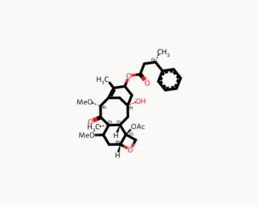 COC1C[C@H]2OC[C@@]2(OC(C)=O)[C@H]2C[C@@]3(O)CC(=C(C)C(OC(=O)C[C@H](C)c4ccccc4)C3)[C@@H](OC)C(=O)[C@]12C